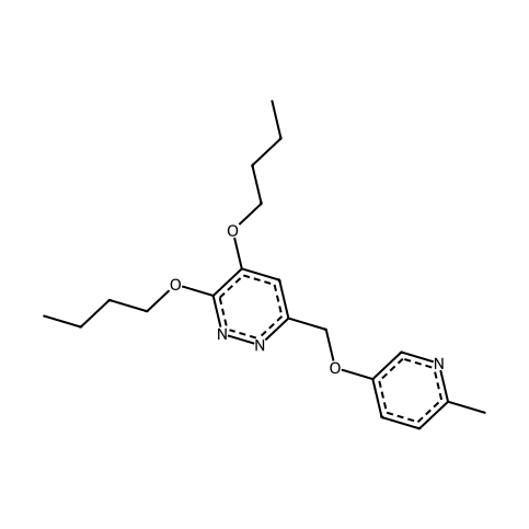 CCCCOc1cc(COc2ccc(C)nc2)nnc1OCCCC